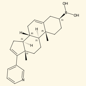 C[C@]12CC[C@H](B(O)O)CC1=CC[C@@H]1[C@@H]2CC[C@]2(C)C(c3cccnc3)=CC[C@@H]12